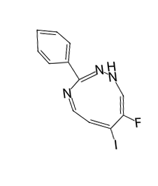 Fc1c[nH]nc(-c2ccccc2)nccc1I